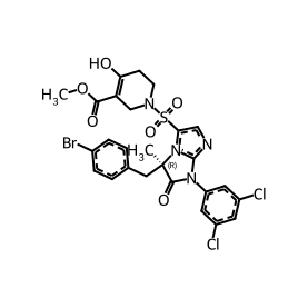 COC(=O)C1=C(O)CCN(S(=O)(=O)c2cnc3n2[C@](C)(Cc2ccc(Br)cc2)C(=O)N3c2cc(Cl)cc(Cl)c2)C1